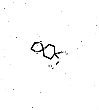 NC1(OC(=O)O)CCC2(CC1)OCCO2